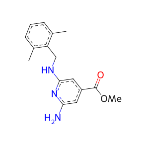 COC(=O)c1cc(N)nc(NCc2c(C)cccc2C)c1